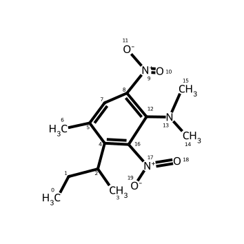 CCC(C)c1c(C)cc([N+](=O)[O-])c(N(C)C)c1[N+](=O)[O-]